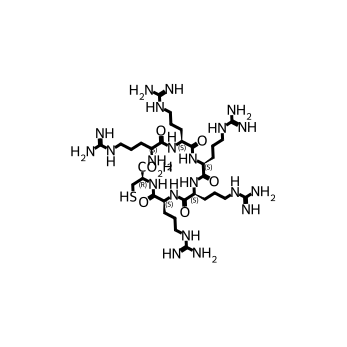 N=C(N)NCCC[C@H](NC(=O)[C@H](CCCNC(=N)N)NC(=O)[C@H](CCCNC(=N)N)NC(=O)[C@H](CCCNC(=N)N)NC(=O)[C@@H](N)CCCNC(=N)N)C(=O)N[C@@H](CS)C(=O)O